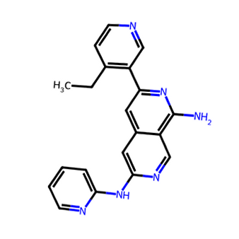 CCc1ccncc1-c1cc2cc(Nc3ccccn3)ncc2c(N)n1